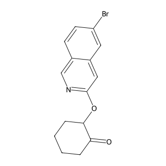 O=C1CCCCC1Oc1cc2cc(Br)ccc2cn1